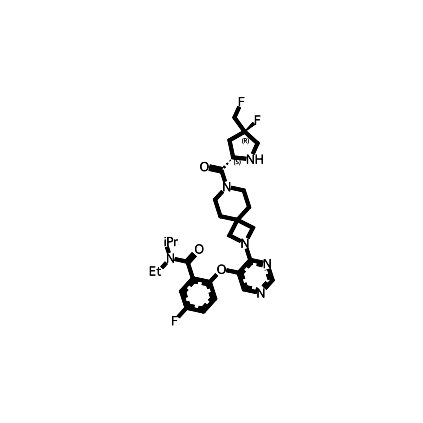 CCN(C(=O)c1cc(F)ccc1Oc1cncnc1N1CC2(CCN(C(=O)[C@@H]3C[C@](F)(CF)CN3)CC2)C1)C(C)C